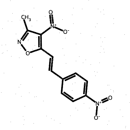 Cc1noc(C=Cc2ccc([N+](=O)[O-])cc2)c1[N+](=O)[O-]